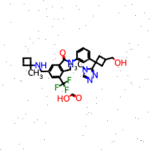 Cn1cnnc1C1(c2cccc(N3Cc4c(cc(CNC5(C)CCC5)cc4C(F)(F)F)C3=O)c2)CC(CO)C1.O=CO